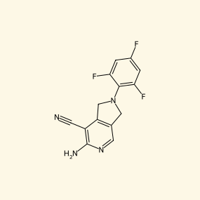 N#Cc1c(N)ncc2c1CN(c1c(F)cc(F)cc1F)C2